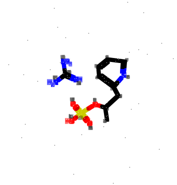 CC(Cc1ccccn1)OS(=O)(=O)O.N=C(N)N